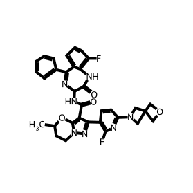 CC1CCn2nc(-c3ccc(N4CC5(COC5)C4)nc3F)c(C(=O)NC3N=C(c4ccccc4)c4cccc(F)c4NC3=O)c2O1